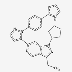 CCc1nn(C2CCCC2)c2cc(-c3ccnn3-c3ccc(-c4ccc[nH]4)cc3)ccc12